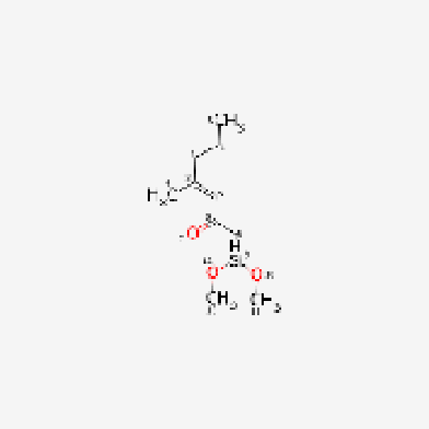 CCCC(C)=CC(=O)C[SiH](OC)OC